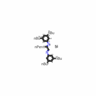 CCCCCC(/C=N/c1cc(CCCC)cc(CCCC)c1)=N\c1cc(CCCC)cc(CCCC)c1.[Ni]